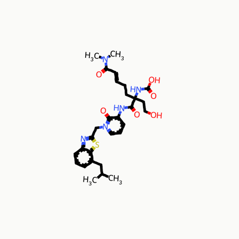 CC(C)Cc1cccc2nc(Cn3cccc(NC(=O)C(CCO)(CCC=CC(=O)N(C)C)NC(=O)O)c3=O)sc12